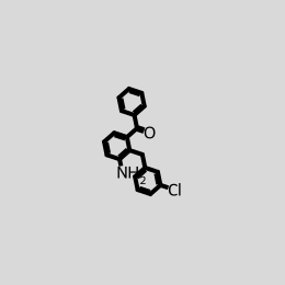 Nc1cccc(C(=O)c2ccccc2)c1Cc1cccc(Cl)c1